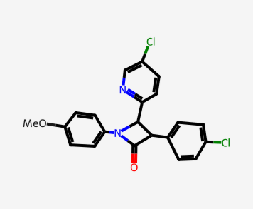 COc1ccc(N2C(=O)C(c3ccc(Cl)cc3)C2c2ccc(Cl)cn2)cc1